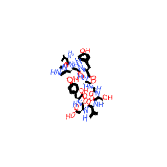 CC(C)[C@H](N)C(=O)N[C@@H](Cc1c[nH]cn1)C(=O)N[C@@H](Cc1ccc(O)cc1)C(=O)N[C@@H](C)C(=O)NCC(=O)N[C@H](C(=O)N[C@H](C(=O)N[C@@H](CC(=O)O)C(=O)N[C@@H](Cc1ccc(O)cc1)C(=O)O)C(C)C)[C@@H](C)O